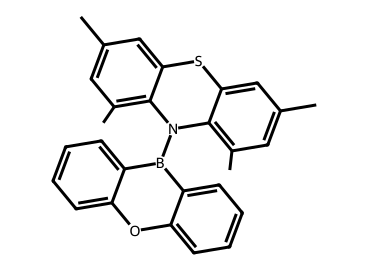 Cc1cc(C)c2c(c1)Sc1cc(C)cc(C)c1N2B1c2ccccc2Oc2ccccc21